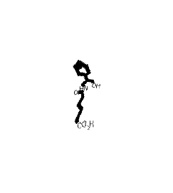 O=C(O)CCCCC(=O)NCC(CO)c1ccccc1